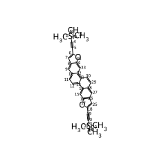 C[Si](C)(C)C#Cc1cc2cc3ccc4c5cc6oc(C#C[Si](C)(C)C)cc6cc5ccc4c3cc2o1